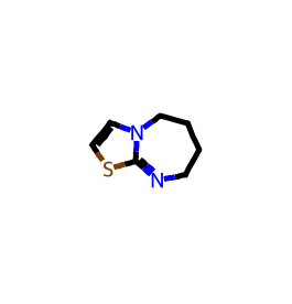 C1=CN2CCCCN=C2S1